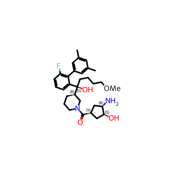 COCCCC[C@@](O)(c1cccc(F)c1-c1cc(C)cc(C)c1)[C@@H]1CCCN(C(=O)[C@H]2C[C@@H](N)[C@@H](O)C2)C1